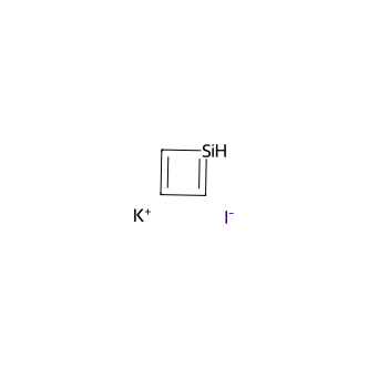 C1=C[SiH]=C1.[I-].[K+]